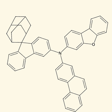 c1ccc2c(c1)-c1cc(N(c3ccc4c(ccc5ccccc54)c3)c3ccc4c(c3)oc3ccccc34)ccc1C21C2CC3CC(C2)CC1C3